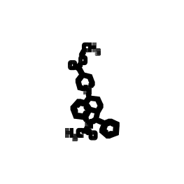 CCOC(=O)C1CCN(C2CCC3c4c2cccc4N(C(C)=O)C3c2ccccc2)CC1